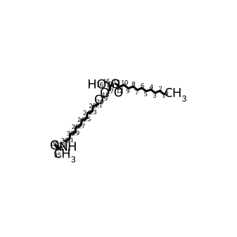 CCCCCCCCCCCC(=O)O[C@H](CO)COCOCCCCCCCCCCCCNC(C)=O